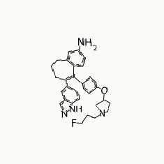 Nc1ccc2c(c1)CCCC(c1ccc3[nH]ncc3c1)=C2c1ccc(OC2CCN(CCCF)C2)cc1